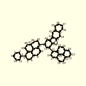 c1ccc(-c2ccc3ccc4c(-c5cc(-c6ccc7ccc8cccc9ccc6c7c89)c6oc7cc8ccccc8cc7c6c5)ccc5ccc2c3c54)cc1